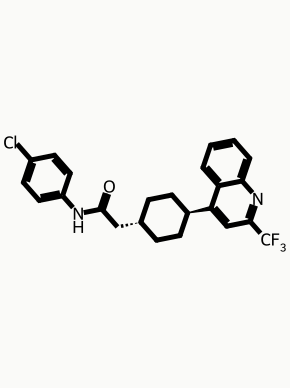 O=C(C[C@H]1CC[C@H](c2cc(C(F)(F)F)nc3ccccc32)CC1)Nc1ccc(Cl)cc1